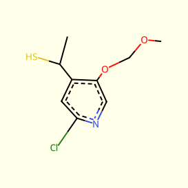 COCOc1cnc(Cl)cc1C(C)S